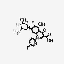 CC1CN(c2cc3c(cc2F)c(=O)c(C(=O)O)cn3-c2ccc(F)cn2)CC(C)N1.Cl